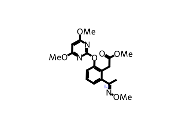 CO/N=C(\C)c1cccc(Oc2nc(OC)cc(OC)n2)c1CC(=O)OC